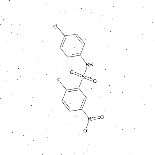 O=[N+]([O-])c1ccc(F)c(S(=O)(=O)Nc2ccc(Cl)cc2)c1